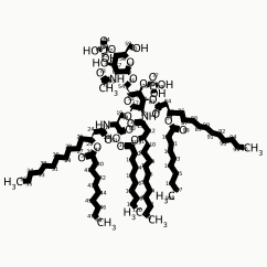 CCCCCCCCCCC[C@H](CC(=O)N[C@H]1[C@H](OC[C@H](NC(=O)C[C@@H](CCCCCCCCCCC)OC(=O)CCCCCCCCC)C(=O)O)O[C@H](CO[C@@H]2O[C@H](CO)[C@@H](OP(=O)(O)O)[C@H](O)[C@H]2NC(C)=O)[C@@H](OP(=O)(O)O)[C@@H]1OC(=O)C[C@@H](CCCCCCCCCCC)OC(=O)CCCCCCCCC)OC(=O)CCCCCCCCC